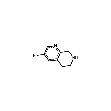 CCc1cnc2c(c1)CCNC2